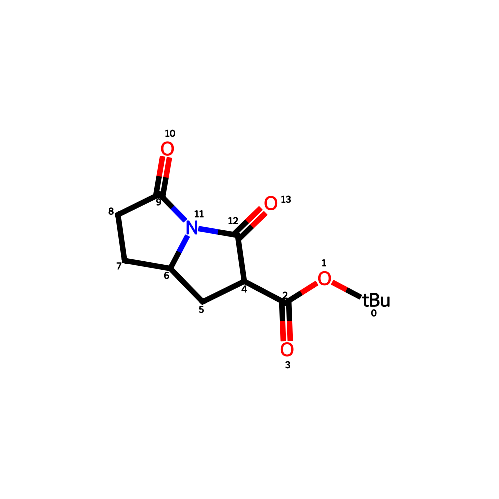 CC(C)(C)OC(=O)C1CC2CCC(=O)N2C1=O